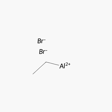 C[CH2][Al+2].[Br-].[Br-]